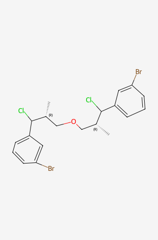 C[C@H](COC[C@@H](C)C(Cl)c1cccc(Br)c1)C(Cl)c1cccc(Br)c1